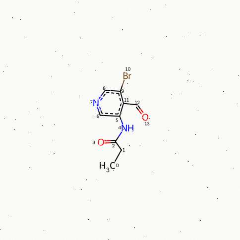 CCC(=O)Nc1cncc(Br)c1C=O